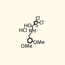 COc1ccc(CCNCC(O)c2cc(Cl)c(Cl)s2)cc1OC.Cl